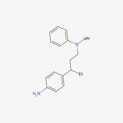 CCCN(CCC(CC)c1ccc(N)cc1)c1ccccc1